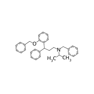 CC(C)N(CCC(c1ccccc1)c1ccccc1OCc1ccccc1)Cc1ccccc1